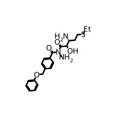 CCSCC[C@@H](N)C(O)C(=O)N(N)C(=O)c1ccc(COc2ccccc2)cc1